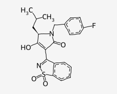 CC(C)C[C@@H]1C(O)=C(C2=NS(=O)(=O)c3ccccc32)C(=O)N1Cc1ccc(F)cc1